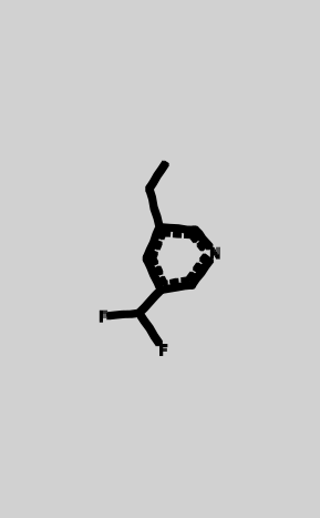 CCc1cncc(C(F)F)c1